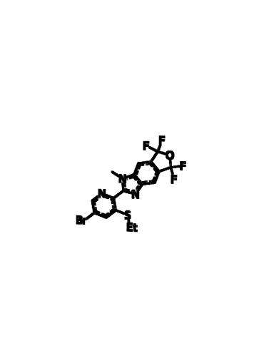 CCSc1cc(Br)cnc1-c1nc2cc3c(cc2n1C)C(F)(F)OC3(F)F